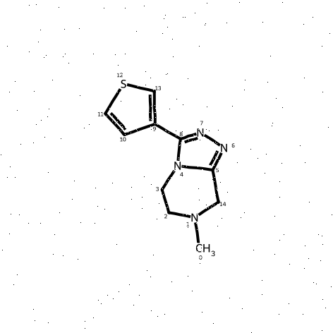 CN1CCn2c(nnc2-c2ccsc2)C1